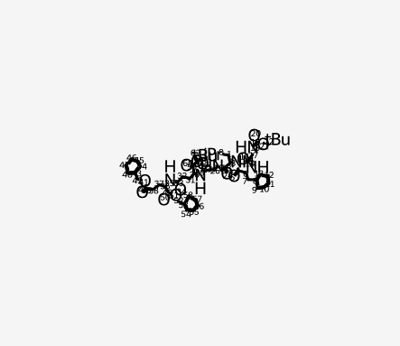 CC(C)CC(NC(=O)C(Cc1ccccc1)NC(=O)CNC(=O)OC(C)(C)C)C(=O)NCC(=O)NC(CCC(=O)NC(CCC(=O)OCc1ccccc1)C(=O)OCc1ccccc1)C(=O)OC(C)(C)C